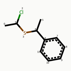 CC(Cl)SC(C)c1ccccc1